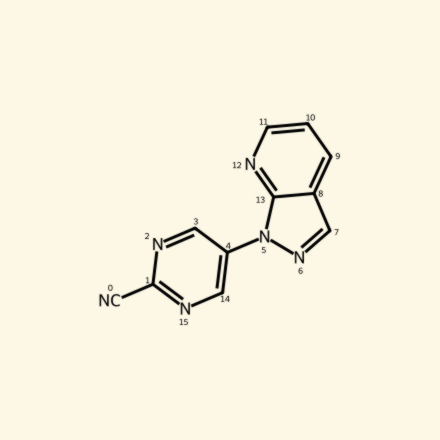 N#Cc1ncc(-n2ncc3cccnc32)cn1